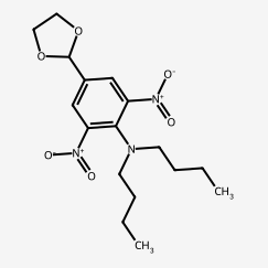 CCCCN(CCCC)c1c([N+](=O)[O-])cc(C2OCCO2)cc1[N+](=O)[O-]